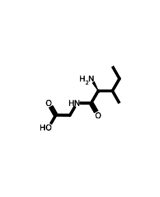 CCC(C)[C@H](N)C(=O)NCC(=O)O